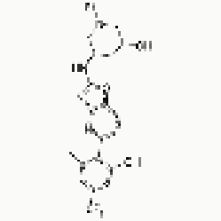 CCN1C[C@H](O)C[C@@H](Nc2nc3nc(-c4c(C)cc(C(F)(F)F)cc4O)ccc3o2)C1